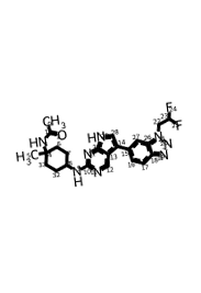 CC(=O)NC1(C)CCC(Nc2ncc3c(-c4ccc5nnn(CC(F)F)c5c4)c[nH]c3n2)CC1